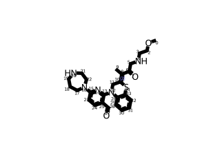 COCCNCC(=O)/C(C)=C1/CN(c2nc(N3CCCNCC3)ccc2C=O)c2ccccc2S1